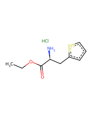 CCOC(=O)[C@@H](N)Cc1cccs1.Cl